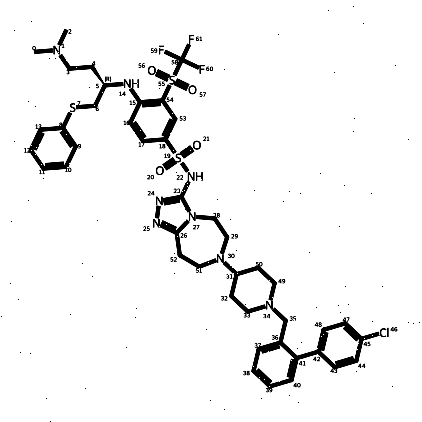 CN(C)CC[C@H](CSc1ccccc1)Nc1ccc(S(=O)(=O)Nc2nnc3n2CCN(C2CCN(Cc4ccccc4-c4ccc(Cl)cc4)CC2)CC3)cc1S(=O)(=O)C(F)(F)F